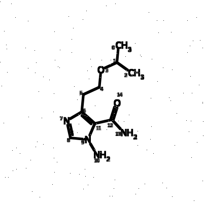 CC(C)OCCc1ncn(N)c1C(N)=O